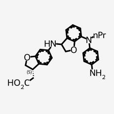 CCCN(c1ccc(N)cc1)c1cccc2c1OCC2Nc1ccc2c(c1)OC[C@H]2CC(=O)O